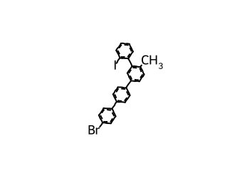 Cc1ccc(-c2ccc(-c3ccc(Br)cc3)cc2)cc1-c1ccccc1I